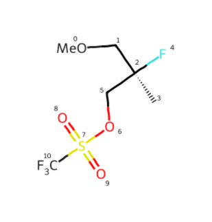 COC[C@@](C)(F)COS(=O)(=O)C(F)(F)F